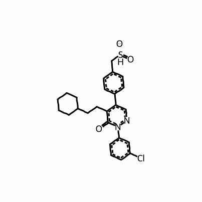 O=c1c(CCC2CCCCC2)c(-c2ccc(C[SH](=O)=O)cc2)cnn1-c1cccc(Cl)c1